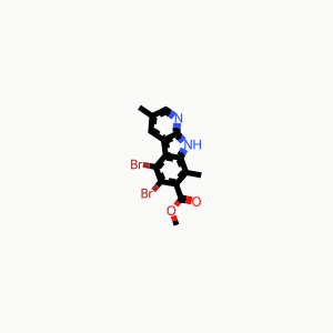 COC(=O)c1c(Br)c(Br)c2c([nH]c3ncc(C)cc32)c1C